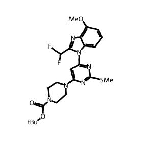 COc1cccc2c1nc(C(F)F)n2-c1cc(N2CCN(C(=O)OC(C)(C)C)CC2)nc(SC)n1